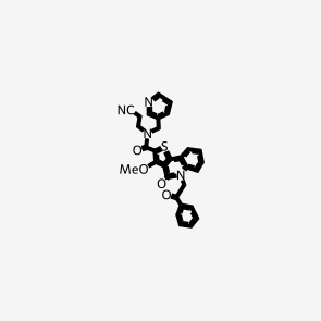 COc1c(C(=O)N(CCC#N)Cc2cccnc2)sc2c1c(=O)n(CC(=O)c1ccccc1)c1ccccc21